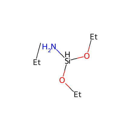 CCC.CCO[SiH](N)OCC